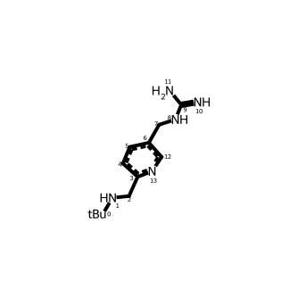 CC(C)(C)NCc1ccc(CNC(=N)N)cn1